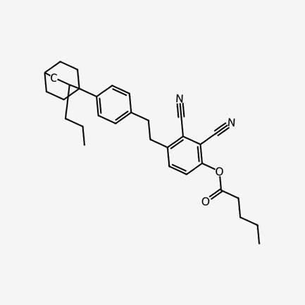 CCCCC(=O)Oc1ccc(CCc2ccc(C34CCC(CC3)CC4CCC)cc2)c(C#N)c1C#N